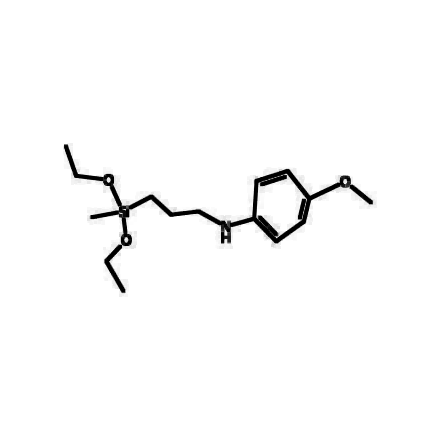 CCO[Si](C)(CCCNc1ccc(OC)cc1)OCC